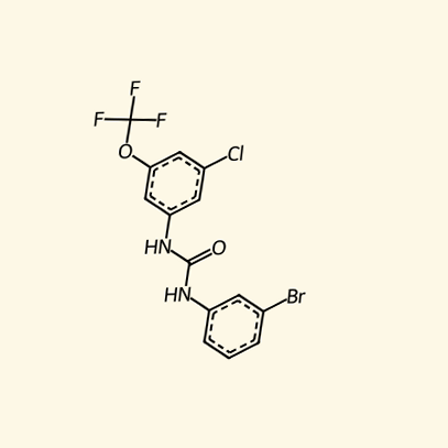 O=C(Nc1cccc(Br)c1)Nc1cc(Cl)cc(OC(F)(F)F)c1